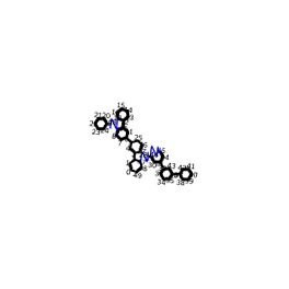 C1=CC2C3=CC(c4ccc5c(c4)c4ccccc4n5-c4ccccc4)CC=C3N(c3cc(-c4cccc(-c5ccccc5)c4)ccn3)C2C=C1